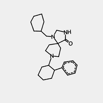 O=C1NCN(CC2CCCCC2)C12CCN(C1CCCCC1c1ccccc1)CC2